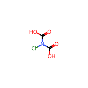 O=C(O)N(Cl)C(=O)O